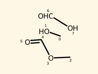 CO.COC=O.O=CO